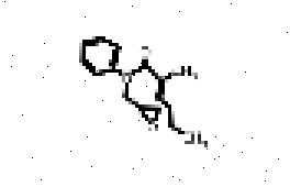 CCCC=C(C)C(=O)N(CC1CO1)c1ccccc1